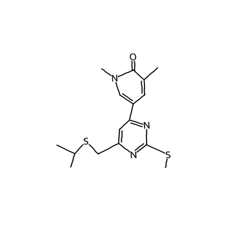 CSc1nc(CSC(C)C)cc(-c2cc(C)c(=O)n(C)c2)n1